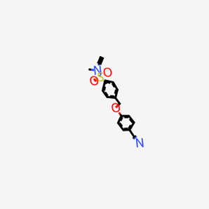 C#CN(C)S(=O)(=O)c1ccc(COc2ccc(C#N)cc2)cc1